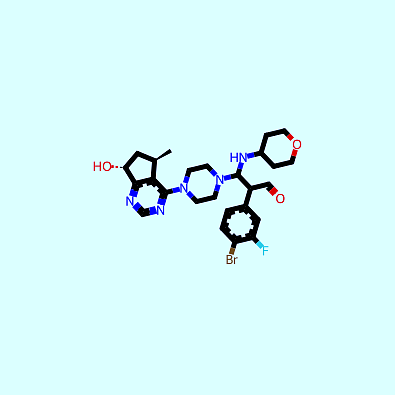 C[C@@H]1C[C@@H](O)c2ncnc(N3CCN(C(NC4CCOCC4)C(C=O)c4ccc(Br)c(F)c4)CC3)c21